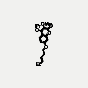 CCC=CCCOc1ccc2c(OC(C)C)c(OC)c(=O)oc2c1